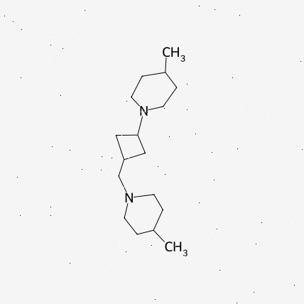 CC1CCN(CC2CC(N3CCC(C)CC3)C2)CC1